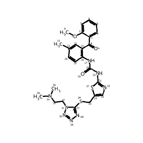 COc1ccccc1C(=O)c1cc(C)ccc1NC(=O)Nc1ncc(CSc2nnnn2CCN(C)C)s1